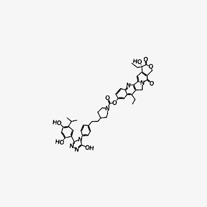 CCc1c2c(nc3ccc(OC(=O)N4CCC(CCc5ccc(-n6c(O)nnc6-c6cc(C(C)C)c(O)cc6O)cc5)CC4)cc13)-c1cc3c(c(=O)n1C2)COC(=O)[C@]3(O)CC